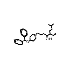 CCC(CC[C](C)C)C(O)CCCN1CCC(OC(c2ccccc2)c2ccccc2)CC1